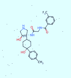 Cc1ccc(C2(O)CCC([C@]3(NC(=O)CNC(=O)c4cccc(C(F)(F)F)c4)CNC[C@@H]3O)CC2)cc1